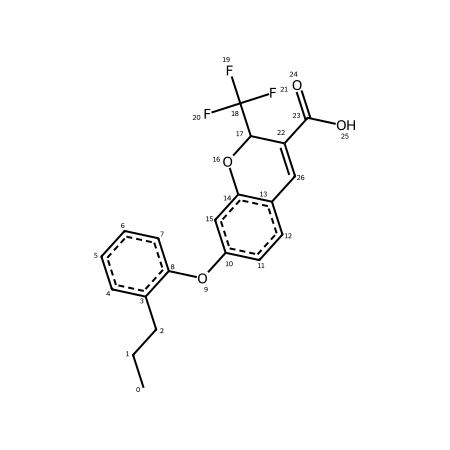 CCCc1ccccc1Oc1ccc2c(c1)OC(C(F)(F)F)C(C(=O)O)=C2